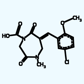 COc1ccc(Cl)cc1/C=C1\CN(C)C(=O)CN(C(=O)O)C1=O